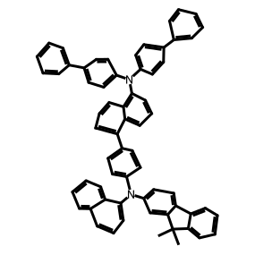 CC1(C)c2ccccc2-c2ccc(N(c3ccc(-c4cccc5c(N(c6ccc(-c7ccccc7)cc6)c6ccc(-c7ccccc7)cc6)cccc45)cc3)c3cccc4ccccc34)cc21